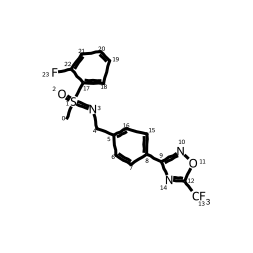 CS(=O)(=NCc1ccc(-c2noc(C(F)(F)F)n2)cc1)c1ccccc1F